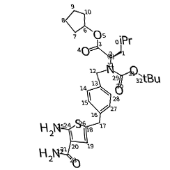 CC(C)C[C@H](C(=O)OC1CCCC1)N(Cc1ccc(Cc2cc(C(N)=O)c(N)s2)cc1)C(=O)OC(C)(C)C